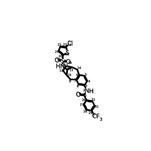 O=C(Nc1ccc2c(c1)CC1CCC(C2)C1NS(=O)(=O)c1ccc(Cl)s1)c1ccc(C(F)(F)F)cc1